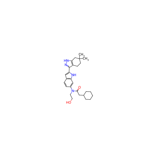 CC1(C)CCc2c(-c3cc4ccc(N(CCO)C(=O)CC5CCCCC5)cc4[nH]3)n[nH]c2C1